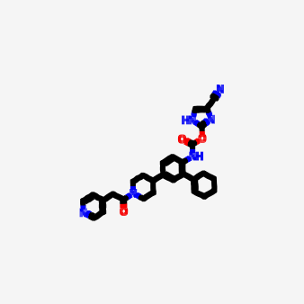 N#Cc1c[nH]c(OC(=O)Nc2ccc(C3CCN(C(=O)Cc4ccncc4)CC3)cc2C2=CCCCC2)n1